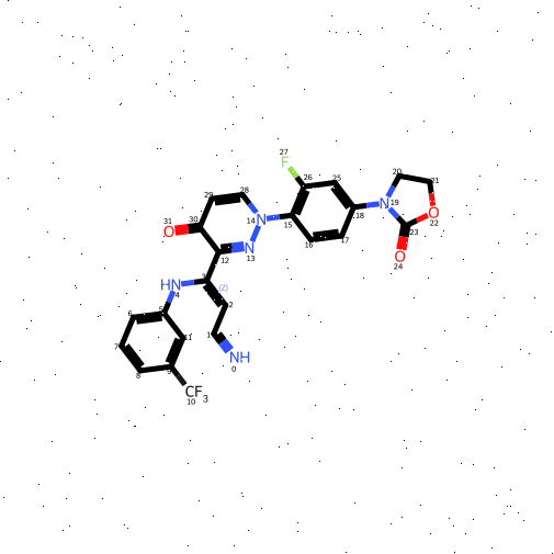 N=C/C=C(\Nc1cccc(C(F)(F)F)c1)c1nn(-c2ccc(N3CCOC3=O)cc2F)ccc1=O